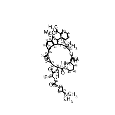 CCn1c(-c2cccnc2[C@H](C)OC)c2c3cc(ccc31)-c1csc(n1)C[C@H](NC(=O)[C@@H](OC(=O)N1CC(N(C)C)C1)C(C)C)C(=O)N1CCC[C@@](O)(N1)C(=O)OCC(C)(C)C2